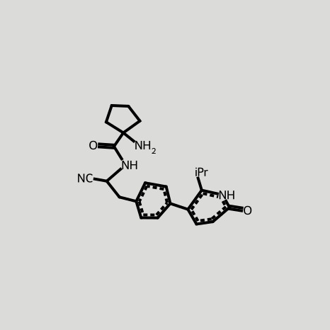 CC(C)c1[nH]c(=O)ccc1-c1ccc(CC(C#N)NC(=O)C2(N)CCCC2)cc1